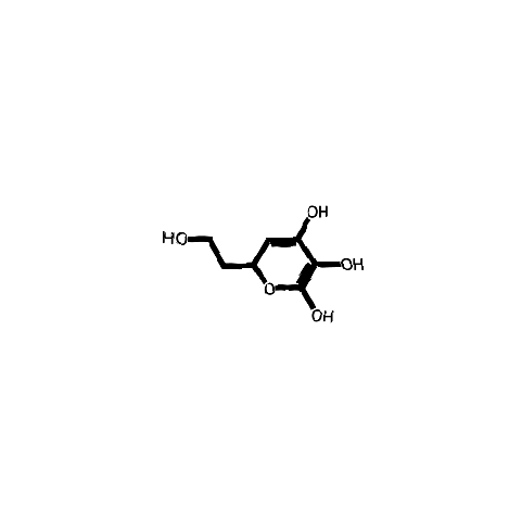 OCCC1C=C(O)C(O)=C(O)O1